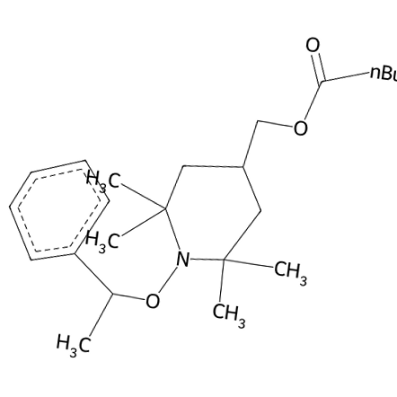 CCCCC(=O)OCC1CC(C)(C)N(OC(C)c2ccccc2)C(C)(C)C1